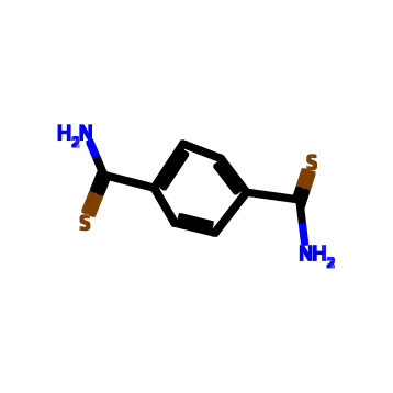 NC(=S)c1ccc(C(N)=S)cc1